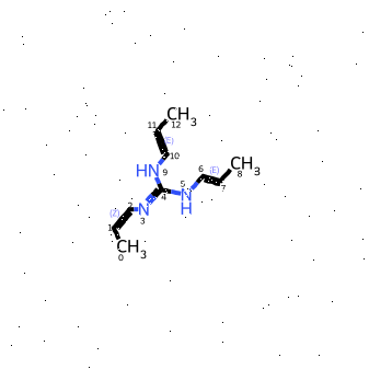 C/C=C\N=C(N/C=C/C)N/C=C/C